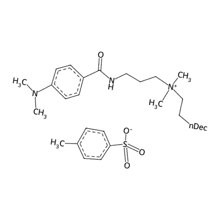 CCCCCCCCCCCC[N+](C)(C)CCCNC(=O)c1ccc(N(C)C)cc1.Cc1ccc(S(=O)(=O)[O-])cc1